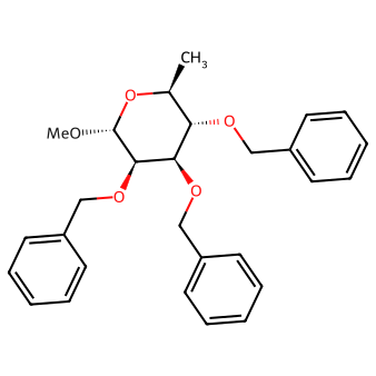 CO[C@@H]1O[C@@H](C)[C@H](OCc2ccccc2)[C@@H](OCc2ccccc2)[C@H]1OCc1ccccc1